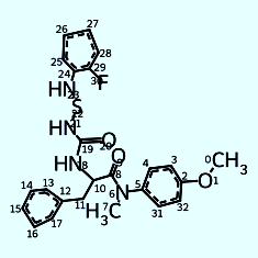 COc1ccc(N(C)C(=O)C(Cc2ccccc2)NC(=O)NSNc2ccccc2F)cc1